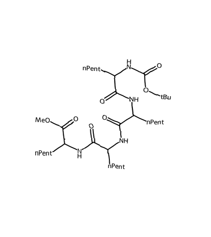 CCCCCC(NC(=O)OC(C)(C)C)C(=O)NC(CCCCC)C(=O)NC(CCCCC)C(=O)NC(CCCCC)C(=O)OC